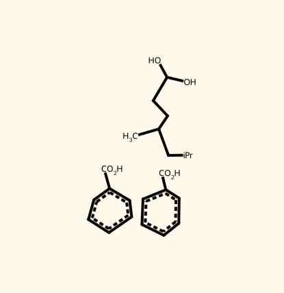 CC(C)CC(C)CCC(O)O.O=C(O)c1ccccc1.O=C(O)c1ccccc1